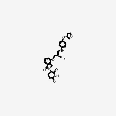 N/C(=C\Nc1ccc(O[C@@H]2CCOC2)cc1)COc1cccc2c1CN(C1CCC(=O)NC1=O)C2=O